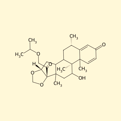 CC(C)OCC(=O)[C@@]12OCO[C@@H]1CC1C3C[C@H](C)C4=CC(=O)C=CC4(C)[C@@]3(C)C(O)CC12C